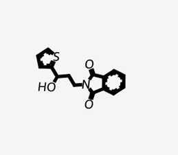 O=C1c2ccccc2C(=O)N1CCC(O)c1cccs1